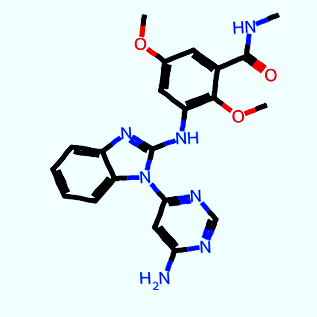 CNC(=O)c1cc(OC)cc(Nc2nc3ccccc3n2-c2cc(N)ncn2)c1OC